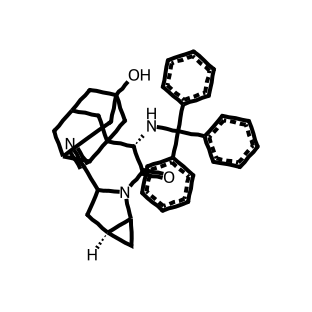 N#CC1C[C@@H]2CC2N1C(=O)[C@@H](NC(c1ccccc1)(c1ccccc1)c1ccccc1)C12CC3CC(CC(O)(C3)C1)C2